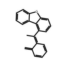 C=c1cccc/c1=C(/C)c1cccc2oc3ccccc3c12